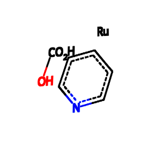 O=C(O)O.[Ru].c1ccncc1